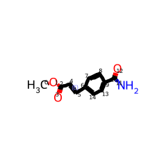 COC(=O)/C=C/c1ccc(C(N)=O)cc1